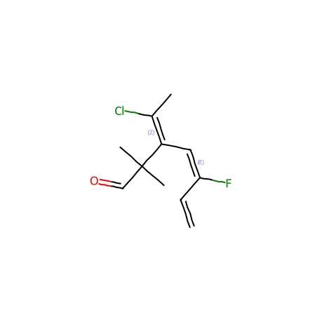 C=C/C(F)=C\C(=C(/C)Cl)C(C)(C)C=O